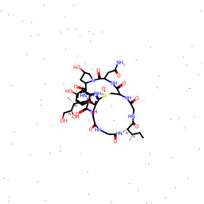 CC[C@H](C)[C@@H]1NC(=O)CNC(=O)C2Cc3c([nH]c4cc(O)ccc34)[S@+]([O-])CC(NC(=O)CNC1=O)C(=O)NC(CC(N)=O)C(=O)N1CC(O)CC1C(=O)N[C@@H]([C@@H](C)[C@@H](O)CO)C(=O)N2